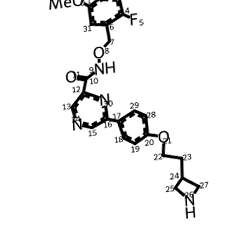 COc1ccc(F)c(CONC(=O)c2cncc(-c3ccc(OCCC4CNC4)cc3)n2)c1